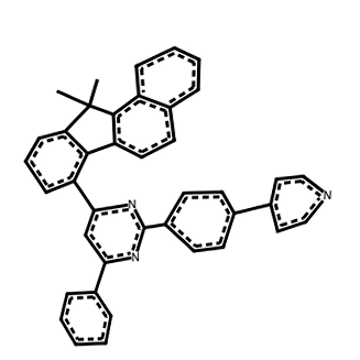 CC1(C)c2cccc(-c3cc(-c4ccccc4)nc(-c4ccc(-c5ccncc5)cc4)n3)c2-c2ccc3ccccc3c21